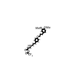 COc1ccc(CCCOc2ccc(CCCNCCC(=O)OC(=O)C(F)(F)F)cc2)cc1OC